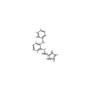 c1ccc(Oc2ccccc2CNc2nnn[nH]2)nc1